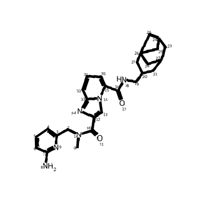 CN(Cc1cccc(N)n1)C(=O)c1cn2c(C(=O)NCC3CC4CC5CC(C3)(C4)C5)cccc2n1